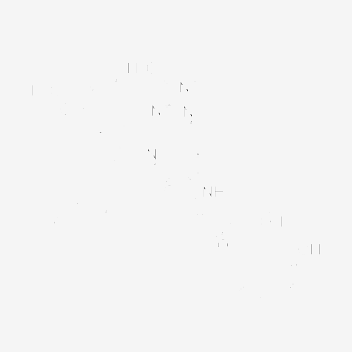 COc1ccc2c(c1)C(c1ccc(Cl)cc1)=N[C@@H](CC(=O)NCCOc1cccc(O)c1O)c1nnc(C)n1-2